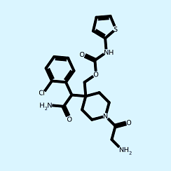 NCC(=O)N1CCC(COC(=O)Nc2cccs2)(C(C(N)=O)c2ccccc2Cl)CC1